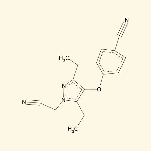 CCc1nn(CC#N)c(CC)c1Oc1ccc(C#N)cc1